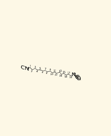 [C-]#[N+]CCCCCCCCCCCCCCCCCCN=C=O